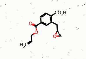 C=CCOC(=O)c1ccc(C(=O)O)c(CC2CO2)c1